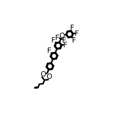 C=CCCC1COC(c2ccc(-c3ccc(-c4cc(F)c(C(F)(F)Oc5cc(F)c(F)c(F)c5)c(F)c4)c(F)c3)cc2)OC1